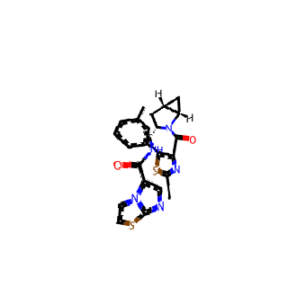 Cc1cccc(-c2sc(C)nc2C(=O)N2[C@H](CNC(=O)c3cnc4sccn34)C[C@@H]3C[C@@H]32)c1